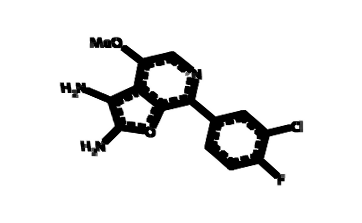 COc1cnc(-c2ccc(F)c(Cl)c2)c2oc(N)c(N)c12